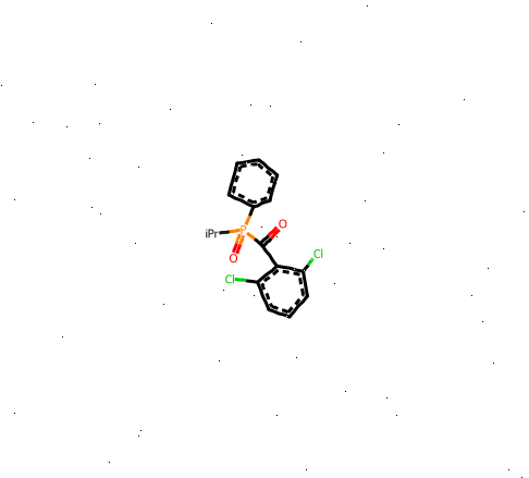 CC(C)P(=O)(C(=O)c1c(Cl)cccc1Cl)c1ccccc1